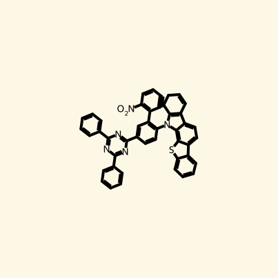 O=[N+]([O-])c1ccc#cc1-c1cc(-c2nc(-c3ccccc3)nc(-c3ccccc3)n2)ccc1-n1c2c(c3ccc4c5ccccc5sc4c31)C=CCC2